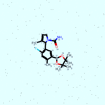 Cc1cc(F)c(C2C(C(F)(F)F)=CCN2C(N)=O)cc1B1OC(C)(C)C(C)(C)O1